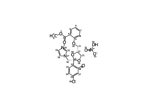 COC(=O)c1ccccc1OC[C@@H]1CO[C@@](Cn2ccnc2)(c2ccc(Cl)cc2Cl)O1.O=[N+]([O-])O